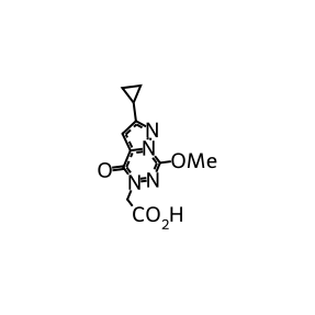 COc1nn(CC(=O)O)c(=O)c2cc(C3CC3)nn12